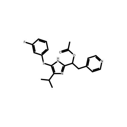 CC(=O)OC(Cc1ccncc1)c1nc(C(C)C)c(Sc2cccc(F)c2)[nH]1